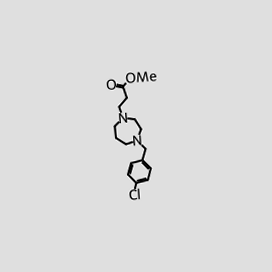 COC(=O)CCN1CCCN(Cc2ccc(Cl)cc2)CC1